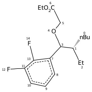 CCCC[C@H](CC)C(OCC(=O)OCC)c1cccc(F)c1F